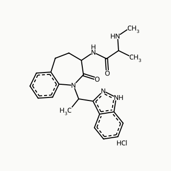 CNC(C)C(=O)NC1CCc2ccccc2N(C(C)c2n[nH]c3ccccc23)C1=O.Cl